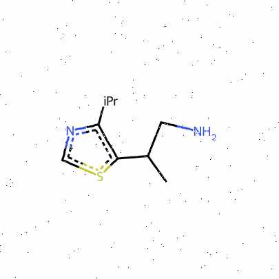 CC(C)c1ncsc1C(C)CN